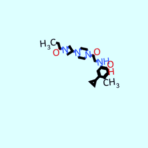 CCC(=O)N1CC(N2CCN(C(=O)CNc3cc(C4CC4)c(C)cc3O)CC2)C1